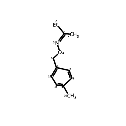 CC/C(C)=N/OCc1ccc(C)cc1